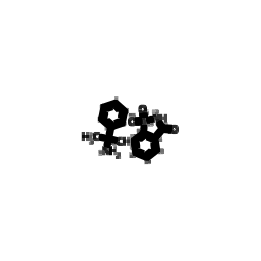 CC(C)(N)c1ccccc1.O=C1NS(=O)(=O)c2ccccc21